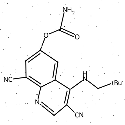 CC(C)(C)CNc1c(C#N)cnc2c(C#N)cc(OC(N)=O)cc12